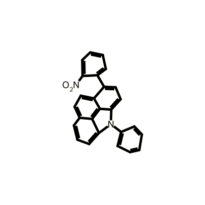 O=[N+]([O-])c1ccccc1-c1ccc2c3c1ccc1cccc(c13)n2-c1ccccc1